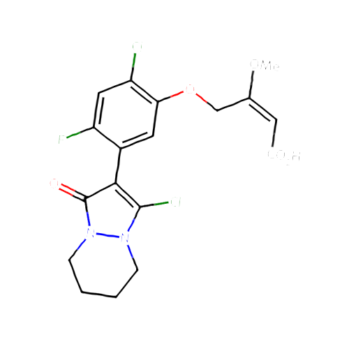 CO/C(=C/C(=O)O)COc1cc(-c2c(Cl)n3n(c2=O)CCCC3)c(F)cc1Cl